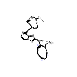 COC1/C=C\C=C/C/C=C\1Nc1nc2c(-c3cnn(C)c3)nccn2n1